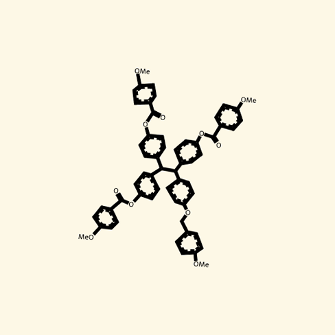 COc1ccc(COc2ccc(C(c3ccc(OC(=O)c4ccc(OC)cc4)cc3)C(c3ccc(OC(=O)c4ccc(OC)cc4)cc3)c3ccc(OC(=O)c4ccc(OC)cc4)cc3)cc2)cc1